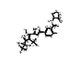 Cc1ccc(-c2cc(-c3c(C(F)(F)F)c(C(F)(F)C(F)(F)F)nn3C)no2)cc1C(=O)NC1CCOC1=O